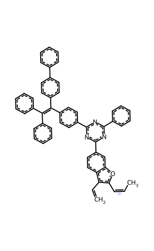 C=Cc1c(/C=C\C)oc2cc(-c3nc(-c4ccccc4)nc(-c4ccc(C(=C(c5ccccc5)c5ccccc5)c5ccc(-c6ccccc6)cc5)cc4)n3)ccc12